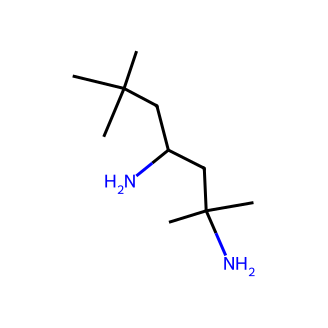 CC(C)(C)CC(N)CC(C)(C)N